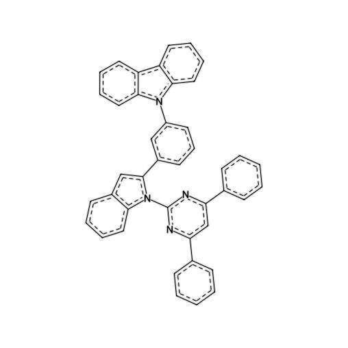 c1ccc(-c2cc(-c3ccccc3)nc(-n3c(-c4cccc(-n5c6ccccc6c6ccccc65)c4)cc4ccccc43)n2)cc1